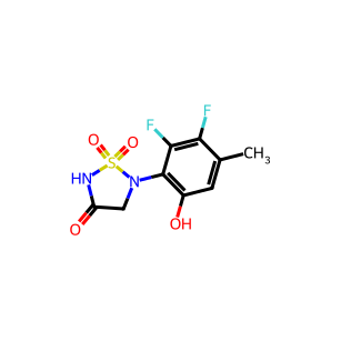 Cc1cc(O)c(N2CC(=O)NS2(=O)=O)c(F)c1F